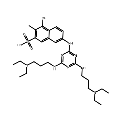 CCN(CC)CCCNc1nc(NCCCN(CC)CC)nc(Nc2ccc3c(O)c(C)c(S(=O)(=O)O)cc3c2)n1